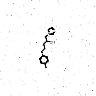 Cc1ccc(CCCC(O)Cn2ccnc2)cc1